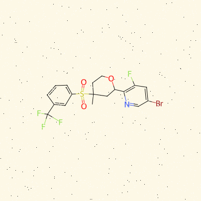 CC1(S(=O)(=O)c2cccc(C(F)(F)F)c2)CCOC(c2ncc(Br)cc2F)C1